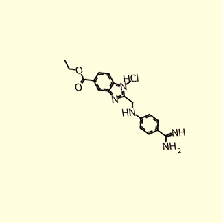 CCOC(=O)c1ccc2c(c1)nc(CNc1ccc(C(=N)N)cc1)n2C.Cl